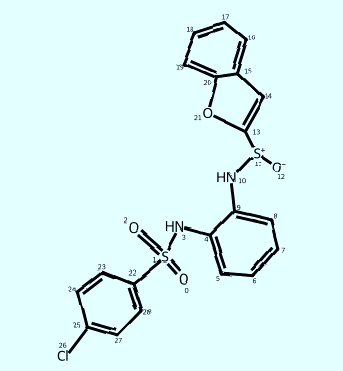 O=S(=O)(Nc1ccccc1N[S+]([O-])c1cc2ccccc2o1)c1ccc(Cl)cc1